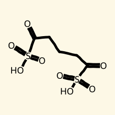 O=C(CCCC(=O)S(=O)(=O)O)S(=O)(=O)O